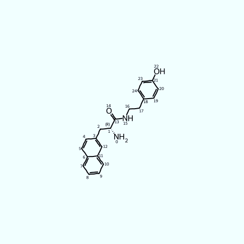 N[C@H](Cc1ccc2ccccc2c1)C(=O)NCCc1ccc(O)cc1